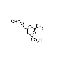 BC(=O)O[C@H](COC=O)COC(=O)O